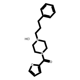 Cl.O=C(c1ccco1)N1CCN(CCCc2ccccc2)CC1